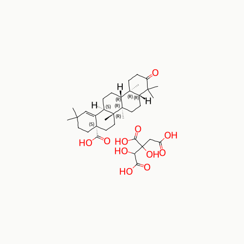 CC1(C)C=C2[C@H]3CC[C@@H]4[C@@]5(C)CCC(=O)C(C)(C)[C@@H]5CC[C@@]4(C)[C@]3(C)CC[C@@]2(C(=O)O)CC1.O=C(O)CC(O)(C(=O)O)C(O)C(=O)O